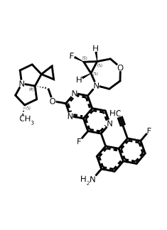 C#Cc1c(F)ccc2cc(N)cc(-c3ncc4c(N5CCOC[C@H]6[C@H](F)[C@H]65)nc(OC[C@]56C[C@H](C)CN5CCC65CC5)nc4c3F)c12